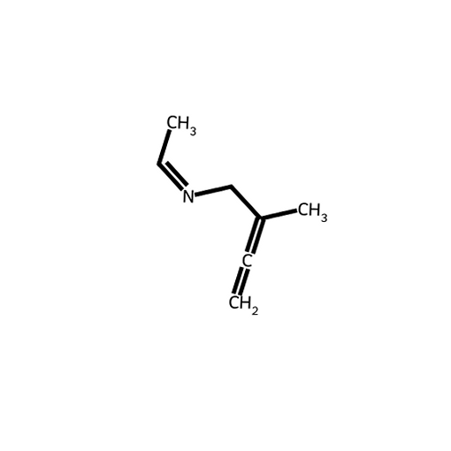 C=C=C(C)C/N=C\C